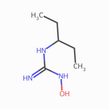 CCC(CC)NC(=N)NO